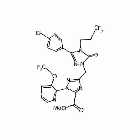 COC(=O)c1nc(Cn2nc(-c3ccc(Cl)cc3)n(CCC(F)(F)F)c2=O)nn1-c1ncccc1OC(F)(F)F